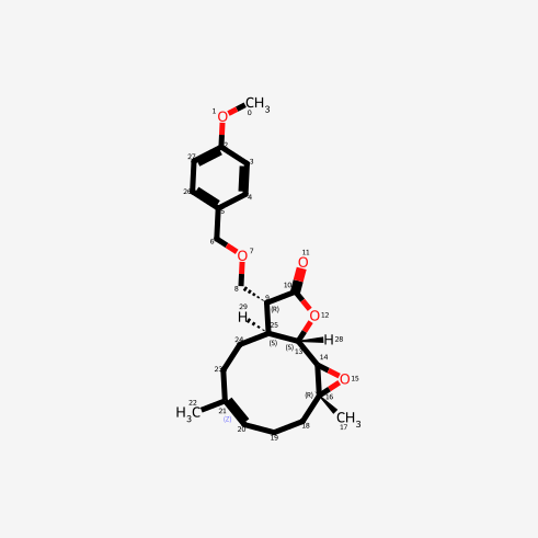 COc1ccc(COC[C@@H]2C(=O)O[C@@H]3C4O[C@]4(C)CC/C=C(/C)CC[C@@H]23)cc1